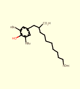 CCCCCCCCCCCCCCCCCCC(Cc1cc(CCCC)c(O)c(CCCC)c1)C(=O)O